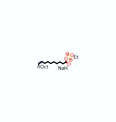 CCCCCCCC/C=C\CCCCCCCC(=O)OS(=O)(=O)OCC.[NaH]